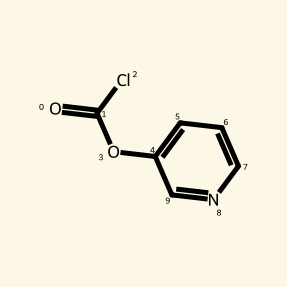 O=C(Cl)Oc1cccnc1